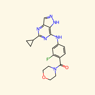 O=C(c1ccc(Nc2nc(C3CC3)nc3cn[nH]c23)cc1F)N1CCOCC1